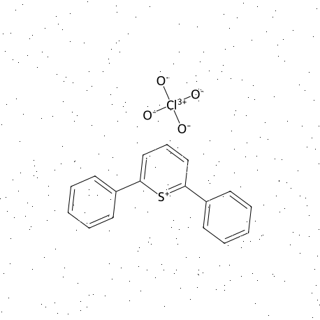 [O-][Cl+3]([O-])([O-])[O-].c1ccc(-c2cccc(-c3ccccc3)[s+]2)cc1